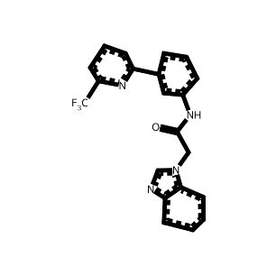 O=C(Cn1cnc2ccccc21)Nc1cccc(-c2cccc(C(F)(F)F)n2)c1